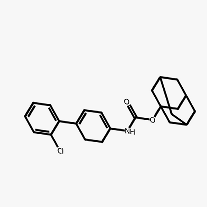 O=C(NC1=CC=C(c2ccccc2Cl)CC1)OC12CC3CC(CC(C3)C1)C2